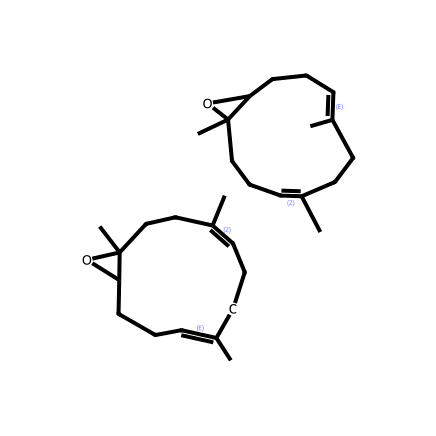 C/C1=C/CC/C(C)=C/CCC2OC2(C)CC1.C/C1=C/CCC2(C)OC2CC/C=C(\C)CC1